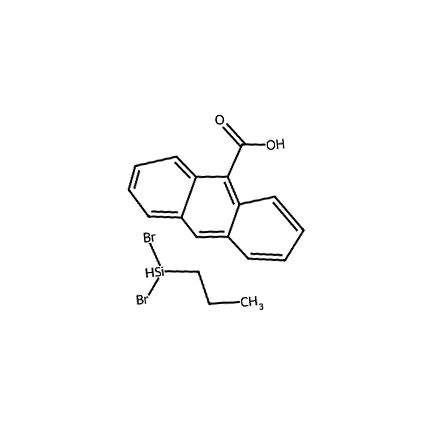 CCC[SiH](Br)Br.O=C(O)c1c2ccccc2cc2ccccc12